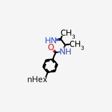 CCCCCCc1ccc(C(=O)NC(C)C(C)=N)cc1